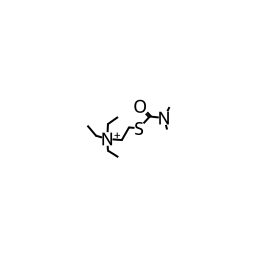 CC[N+](CC)(CC)CCSC(=O)N(C)C